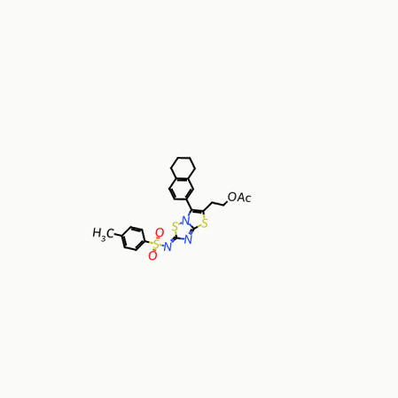 CC(=O)OCCc1sc2nc(=NS(=O)(=O)c3ccc(C)cc3)sn2c1-c1ccc2c(c1)CCCC2